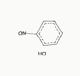 Cl.O=Nc1ccccc1